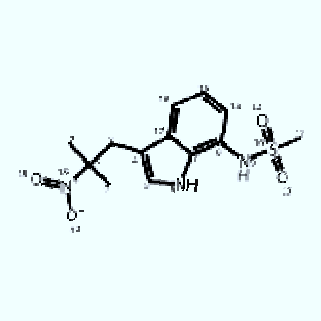 CC(C)(Cc1c[nH]c2c(NS(C)(=O)=O)cccc12)[N+](=O)[O-]